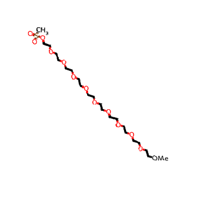 COCCOCCOCCOCCOCCOCCOCCOCCOCCOCCOS(C)(=O)=O